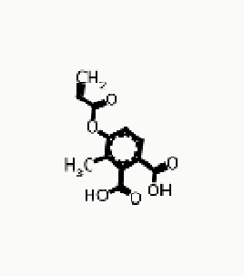 C=CC(=O)Oc1ccc(C(=O)O)c(C(=O)O)c1C